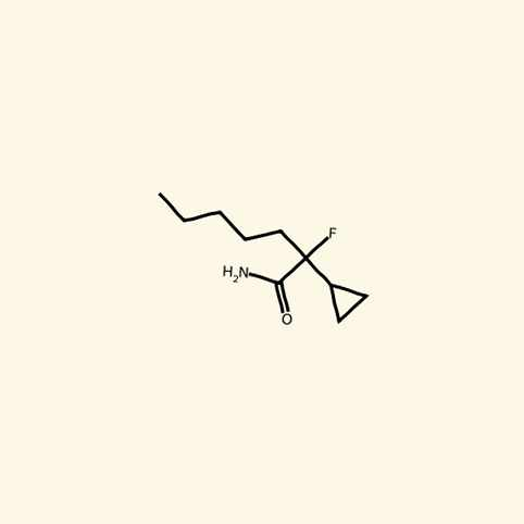 CCCCCC(F)(C(N)=O)C1CC1